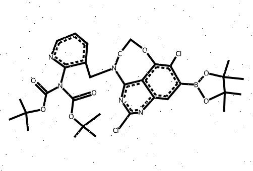 CC(C)(C)OC(=O)N(C(=O)OC(C)(C)C)c1ncccc1CN1CCOc2c(Cl)c(B3OC(C)(C)C(C)(C)O3)cc3nc(Cl)nc1c23